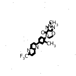 Cc1cc(-c2ccc3nc(C(F)(F)F)ccc3n2)ccc1N1CCOc2nn(C)nc2C1=O